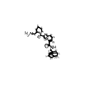 NCC1CCCCN1C(=O)c1cn2c(C(=O)NCC34CC5CC(CC(C5)C3)C4)cccc2n1